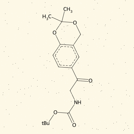 CC(C)(C)OC(=O)NCC(=O)c1ccc2c(c1)COC(C)(C)O2